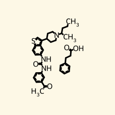 CCCC(C)N1CCC(c2csc3ccc(NC(=O)Nc4cccc(C(C)=O)c4)cc23)CC1.O=C(O)CCc1ccccc1